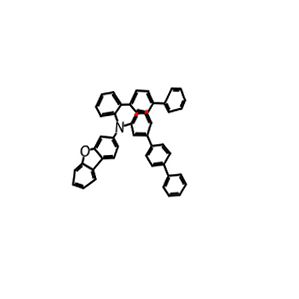 c1ccc(-c2ccc(-c3cccc(N(c4ccc5c(c4)oc4ccccc45)c4ccccc4-c4ccc(-c5ccccc5)cc4)c3)cc2)cc1